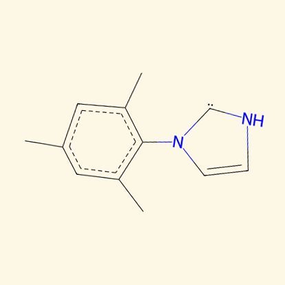 Cc1cc(C)c(N2[C]NC=C2)c(C)c1